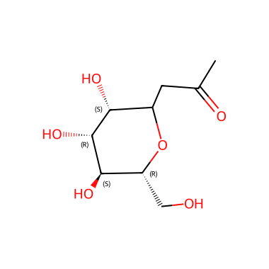 CC(=O)CC1O[C@H](CO)[C@@H](O)[C@H](O)[C@@H]1O